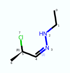 CCN/N=C\[C@@H](C)Cl